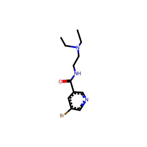 CCN(CC)CCNC(=O)c1cncc(Br)c1